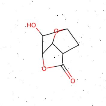 O=C1OC2C(O)C3CC1C2O3